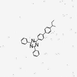 CCC(C)c1ccc(-c2ccc(-c3nc(-c4ccccc4)nc(-c4ccccc4)n3)cc2)cc1